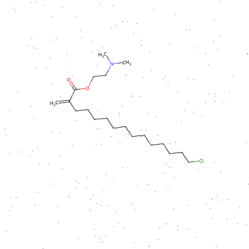 C=C(CCCCCCCCCCCCCCl)C(=O)OCCN(C)C